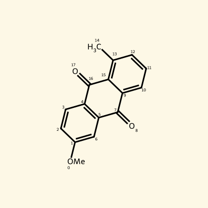 COc1ccc2c(c1)C(=O)c1cccc(C)c1C2=O